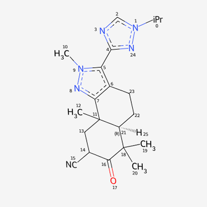 CC(C)n1cnc(-c2c3c(nn2C)C2(C)CC(C#N)C(=O)C(C)(C)[C@@H]2CC3)n1